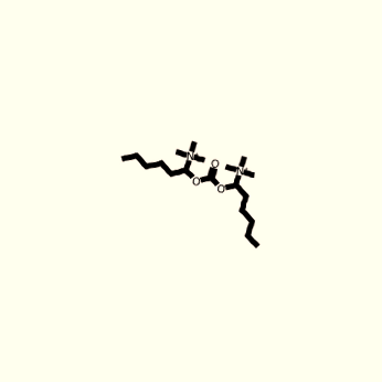 CCCCCC(OC(=O)OC(CCCCC)[N+](C)(C)C)[N+](C)(C)C